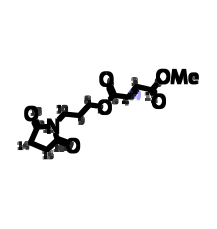 COC(=O)/C=C/C(=O)OCCCN1C(=O)CCC1=O